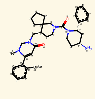 [2H]N1CN(C[C@@H]2CCN(C(=O)N3CC[C@@H](N)C[C@H]3c3ccccc3)CC23CCCC3)C(=O)C=C1c1ccccc1OC